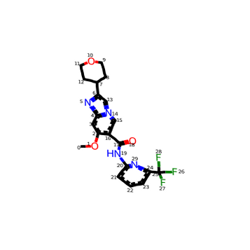 COc1cc2nc(C3CCOCC3)cn2cc1C(=O)Nc1cccc(C(F)(F)F)n1